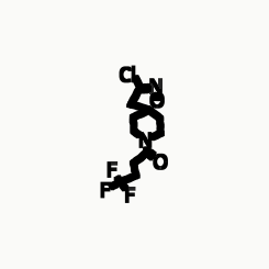 O=C(CCC(F)(F)F)N1CCC2(CC1)CC(Cl)=NO2